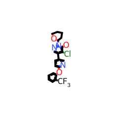 O=c1c(Cl)c(-c2ccc(Oc3ccccc3C(F)(F)F)nc2)cnn1C1CCCCO1